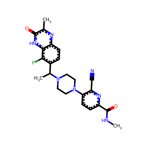 CNC(=O)c1ccc(N2CCN(C(C)c3ccc4nc(C)c(=O)[nH]c4c3F)CC2)c(C#N)n1